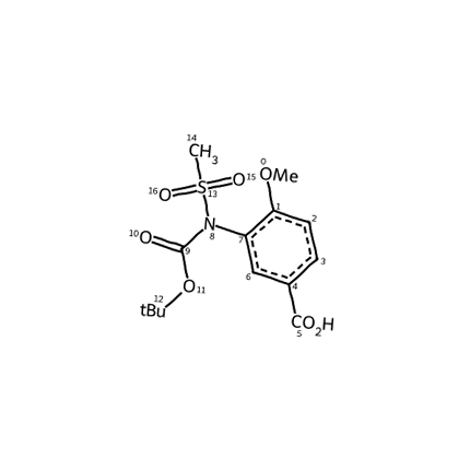 COc1ccc(C(=O)O)cc1N(C(=O)OC(C)(C)C)S(C)(=O)=O